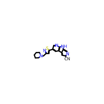 N#Cc1cc2c(cn1)[nH]c1ncc(-c3cc(CN4CCCCC4)ns3)cc12